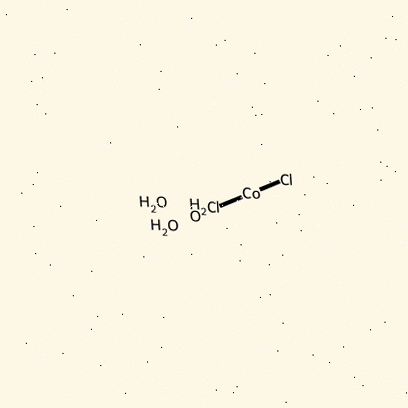 O.O.O.[Cl][Co][Cl]